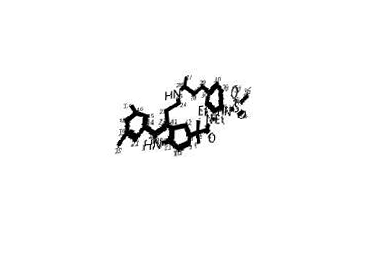 CCN(CC)C(=O)C(C)(C)c1ccc2[nH]c(-c3cc(C)cc(C)c3)c(CCNC(C)CCc3ccc(NS(C)(=O)=O)cc3)c2c1